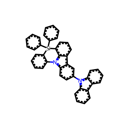 c1ccc([Si]2(c3ccccc3)c3ccccc3-n3c4ccc(-n5c6ccccc6c6ccccc65)cc4c4cccc2c43)cc1